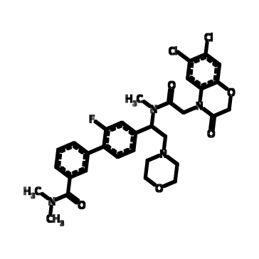 CN(C)C(=O)c1cccc(-c2ccc(C(CN3CCOCC3)N(C)C(=O)CN3C(=O)COc4cc(Cl)c(Cl)cc43)cc2F)c1